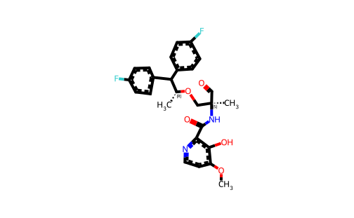 COc1ccnc(C(=O)N[C@](C)(C=O)CO[C@H](C)C(c2ccc(F)cc2)c2ccc(F)cc2)c1O